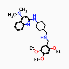 CCOc1cc(OCC)c(OCC)cc1CNCC1CCC(Nc2cc(N(C)C)c3ccccc3n2)CC1